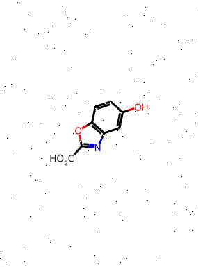 O=C(O)c1nc2cc(O)ccc2o1